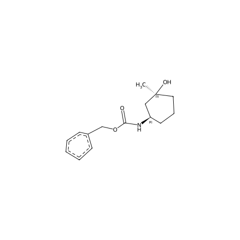 C[C@]1(O)CCC[C@@H](NC(=O)OCc2ccccc2)C1